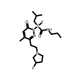 CCCNC(=O)S(F)(CC(C)C)n1nc(CCN2CCC(F)C2)c(C)cc1=O